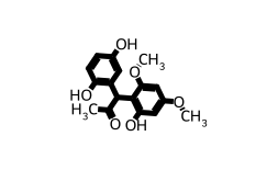 COc1cc(O)c(C(C(C)=O)c2cc(O)ccc2O)c(OC)c1